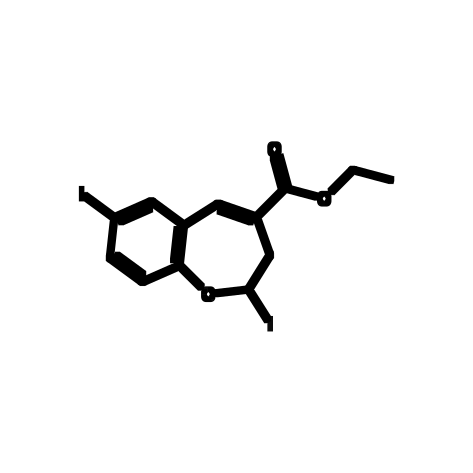 CCOC(=O)C1=Cc2cc(I)ccc2OC(I)C1